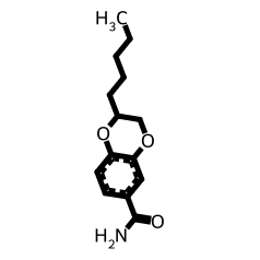 CCCCCC1COc2cc(C(N)=O)ccc2O1